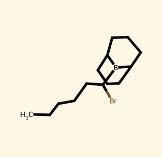 CCCCCC(Br)B1C2CCCC1CCC2